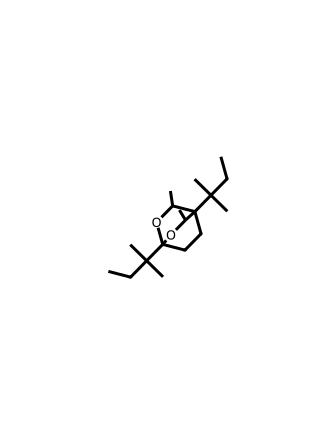 CCC(C)(C)C12CCC(C(C)(C)CC)(C(C)O1)C(C)O2